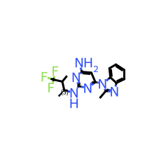 Cc1nc2ccccc2n1-c1cc(N)nc(N[C@@H](C)C(C)C(F)(F)F)n1